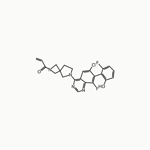 C=CC(=O)N1CC2(CCN(c3ncnc4c(F)c(-c5c(O)cccc5F)c(Cl)cc34)C2)C1